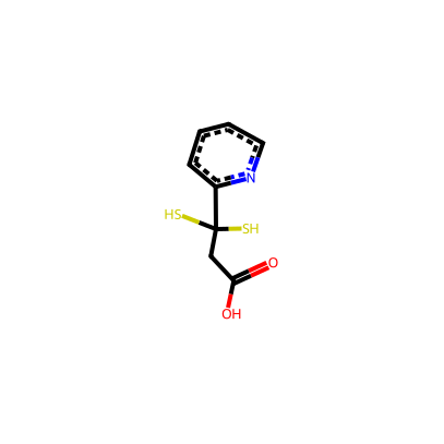 O=C(O)CC(S)(S)c1ccccn1